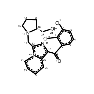 O=C(c1cccc(Cl)c1Cl)c1nc(CN2CCC[C@@H]2CO)n2ccccc12